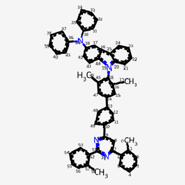 Cc1ccccc1-c1cc(-c2ccc(-c3cc(C)c(-n4c5ccccc5c5cc(N(c6ccccc6)c6ccccc6)ccc54)c(C)c3)cc2)nc(-c2ccccc2C)n1